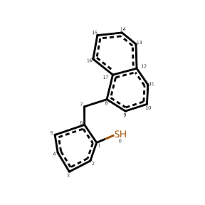 Sc1ccccc1Cc1cccc2ccccc12